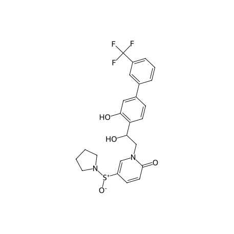 O=c1ccc([S+]([O-])N2CCCC2)cn1CC(O)c1ccc(-c2cccc(C(F)(F)F)c2)cc1O